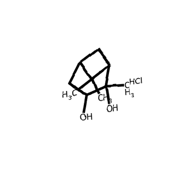 CC1(C)C2CC(O)C(C)(O)C1C2.Cl